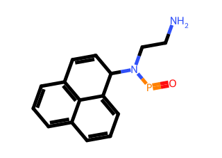 NCCN(P=O)C1C=Cc2cccc3cccc1c23